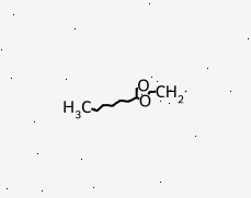 [CH2]C1OCC(CCCCCC)O1